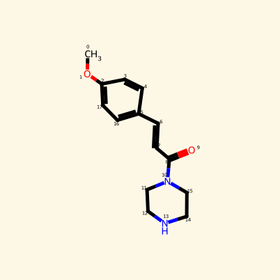 COc1ccc(C=CC(=O)N2CCNCC2)cc1